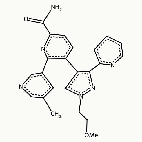 COCCn1cc(-c2ccc(C(N)=O)nc2-c2cncc(C)c2)c(-c2ccccn2)n1